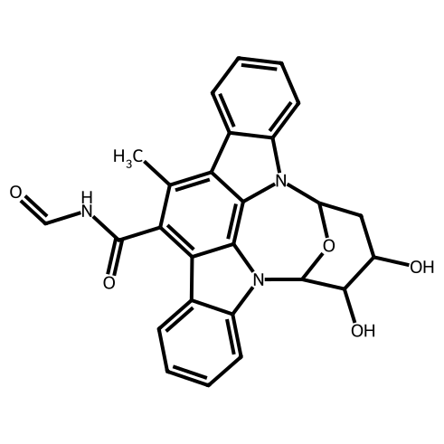 Cc1c(C(=O)NC=O)c2c3ccccc3n3c2c2c1c1ccccc1n2C1CC(O)C(O)C3O1